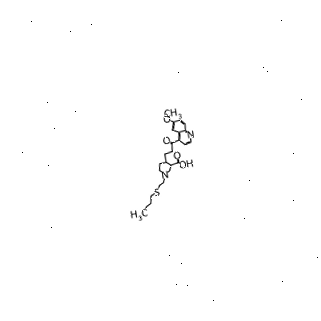 CCCCSCCN1CCC(CCC(=O)c2ccnc3ccc(OC)cc23)C(C(=O)O)C1